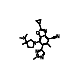 Cc1c(-c2cnn(C)n2)c(N2CCC(C)(N(C)C)C2)c2oc(C3CC3)nc2c1C#N